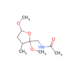 COC1CC(C)C(CNC(C)=O)(OC)O1